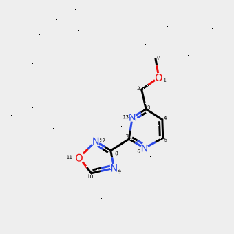 COCc1ccnc(-c2ncon2)n1